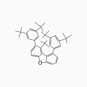 CC(C)(C)c1cc(-c2ccc3oc4cccc(-c5cc(C(C)(C)C)cc(C(C)(C)C)c5)c4c3c2C(C)(C)C)cc(C(C)(C)C)c1